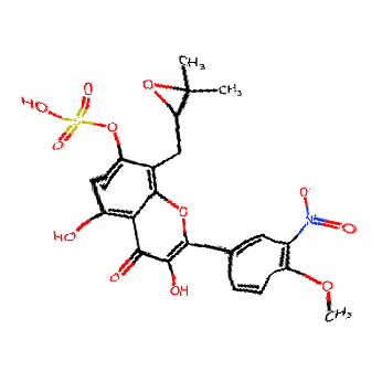 COc1ccc(-c2oc3c(CC4OC4(C)C)c(OS(=O)(=O)O)cc(O)c3c(=O)c2O)cc1[N+](=O)[O-]